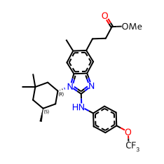 COC(=O)CCc1cc2nc(Nc3ccc(OC(F)(F)F)cc3)n([C@@H]3C[C@@H](C)CC(C)(C)C3)c2cc1C